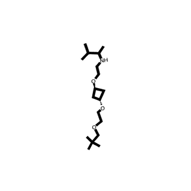 CC(C)C(C)NCCO[C@H]1C[C@H](OCCOCC(C)(C)C)C1